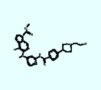 CNC(=O)n1ccc2c(F)c(N(C)c3ccnc(NC(=O)c4ccc(C5CCN(CCO)CC5)cc4)c3)ccc21